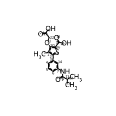 Cc1c(-c2cccc(NC(=O)C(C)C)c2)sc(C(=O)O)c1OCC(=O)O